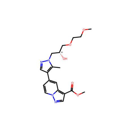 COCCOC[C@H](O)Cn1ncc(-c2ccn3ncc(C(=O)OC)c3c2)c1C